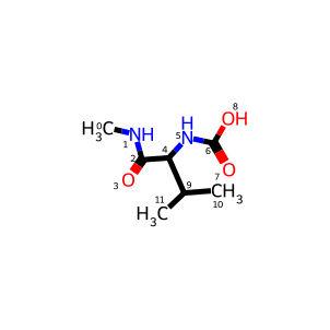 CNC(=O)C(NC(=O)O)C(C)C